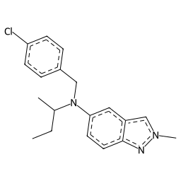 CCC(C)N(Cc1ccc(Cl)cc1)c1ccc2nn(C)cc2c1